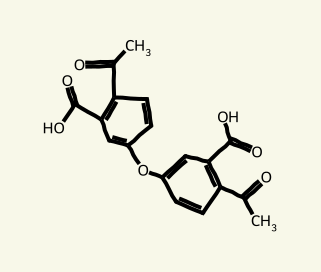 CC(=O)c1ccc(Oc2ccc(C(C)=O)c(C(=O)O)c2)cc1C(=O)O